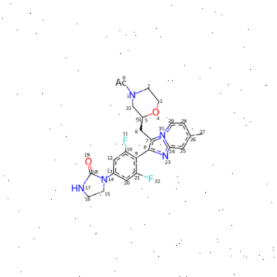 CC(=O)N1CCO[C@@H](Cc2c(-c3c(F)cc(N4CCNC4=O)cc3F)nc3cc(C)ccn23)C1